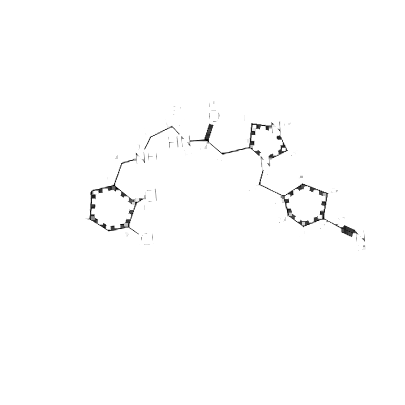 C[C@@H](CNCc1cccc(Cl)c1Cl)NC(=O)Cc1cncn1Cc1ccc(C#N)cc1